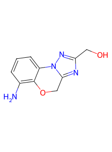 Nc1cccc2c1OCc1nc(CO)nn1-2